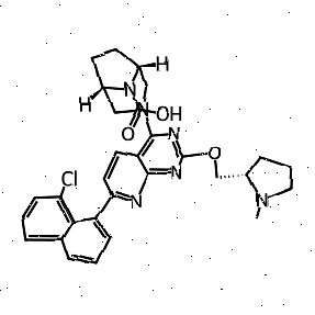 CN1CCC[C@H]1COc1nc(N2C[C@H]3CC[C@@H](C2)N3C(=O)O)c2ccc(-c3cccc4cccc(Cl)c34)nc2n1